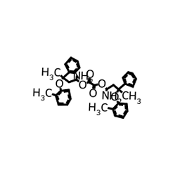 Cc1ccccc1OC(C)(CC(N)OC(=O)C(=O)OC(N)CC(C)(Oc1ccccc1C)c1ccccc1)c1ccccc1